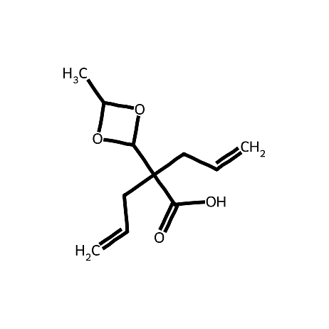 C=CCC(CC=C)(C(=O)O)C1OC(C)O1